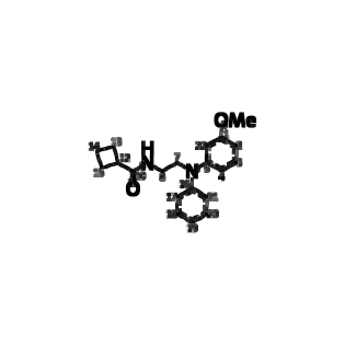 COc1cccc(N(CCNC(=O)C2CCC2)c2ccccc2)c1